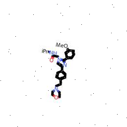 COc1cccc(-c2nc(-c3ccc(CCN4CCOCC4)cc3)cn2CC(=O)NC(C)C)c1